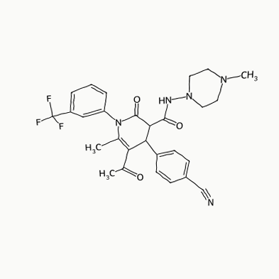 CC(=O)C1=C(C)N(c2cccc(C(F)(F)F)c2)C(=O)C(C(=O)NN2CCN(C)CC2)C1c1ccc(C#N)cc1